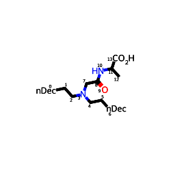 CCCCCCCCCCCCN(CCCCCCCCCCCC)CC(=O)NC(C)C(=O)O